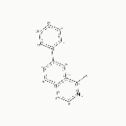 Cc1nccc2ccc(-c3ccccc3)cc12